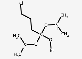 CCO[Si](CCCCl)(O[SiH](C)C)O[SiH](C)C